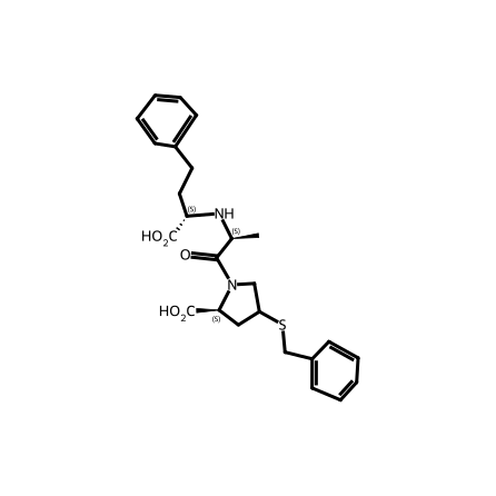 C[C@H](N[C@@H](CCc1ccccc1)C(=O)O)C(=O)N1CC(SCc2ccccc2)C[C@H]1C(=O)O